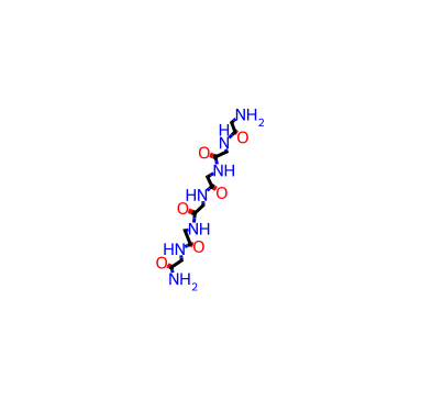 NCC(=O)NCC(=O)NCC(=O)NCC(=O)NCC(=O)NCC(N)=O